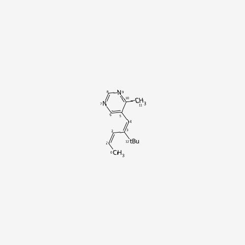 C/C=C\C(=C/c1cncnc1C)C(C)(C)C